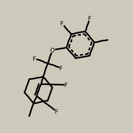 Cc1ccc(OC(F)(F)C23CCC(C)(CC2)C(F)=C3F)c(F)c1F